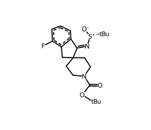 CC(C)(C)OC(=O)N1CCC2(CC1)Cc1c(F)cccc1/C2=N\[S@+]([O-])C(C)(C)C